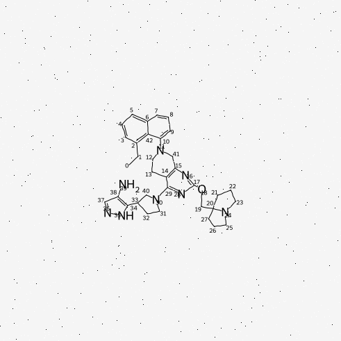 CCc1cccc2cccc(N3CCc4c(nc(OCC56CCCN5CCC6)nc4N4CCC(c5[nH]ncc5N)C4)C3)c12